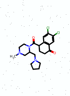 CN1CCN(C(=O)C2CCC(=O)c3cc(Cl)c(Cl)cc32)C(CN2CCCC2)C1